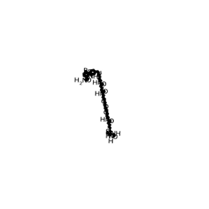 CN(CCCCNC(=O)CCCC(=O)NCCCOCCOCCOCCCNC(=O)CCCC[C@@H]1SC[C@@H]2NC(=O)NC21)CC1CCc2c([nH]c3c(C(N)=O)ccc(Br)c23)C1